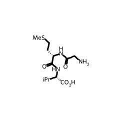 CSCC[C@H](NC(=O)CN)C(=O)N[C@H](C(=O)O)C(C)C